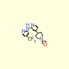 FC(F)(F)c1ccnc(Nc2cc(C3CCN(C4COC4)CC3)ccn2)c1